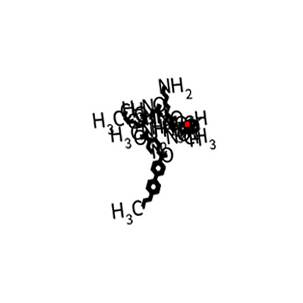 CCCCc1ccc(-c2ccc(C(=O)N3CCC(C(=O)N[C@H](C(=O)N[C@@H](N)C(=O)N[C@@H](CCCCN)C(=O)N[C@@H](N)B4OC5C[C@@H]6C[C@@H](C6(C)C)[C@]5(C)O4)[C@@H](C)OCC(C)C)CC3)cc2)cc1